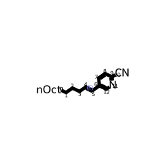 CCCCCCCCCCC/C=C/c1ccc(C#N)nc1